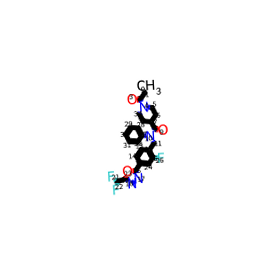 CCC(=O)N1CCC(C(=O)N(Cc2ccc(-c3nnc(C(F)F)o3)cc2F)c2ccccc2)CC1